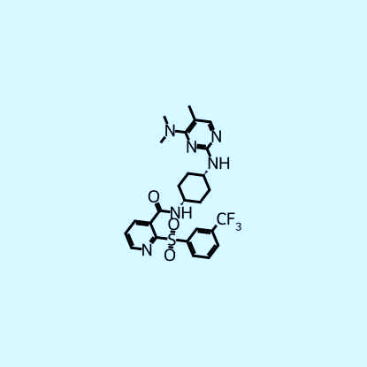 Cc1cnc(N[C@H]2CC[C@@H](NC(=O)c3cccnc3S(=O)(=O)c3cccc(C(F)(F)F)c3)CC2)nc1N(C)C